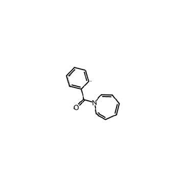 O=C(c1[c]cccc1)N1C=CC=CC=C1